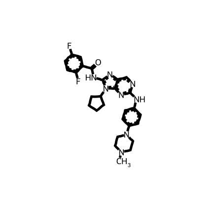 CN1CCN(c2ccc(Nc3ncc4nc(NC(=O)c5cc(F)ccc5F)n(C5CCCC5)c4n3)cc2)CC1